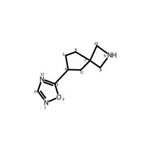 c1noc(C2CCC3(CNC3)C2)n1